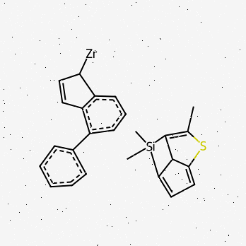 CC1=C2C3C(=CC=C3[Si]2(C)C)S1.[Zr][CH]1C=Cc2c(-c3ccccc3)cccc21